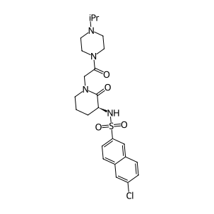 CC(C)N1CCN(C(=O)CN2CCC[C@H](NS(=O)(=O)c3ccc4cc(Cl)ccc4c3)C2=O)CC1